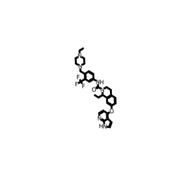 CCC1c2cc(Oc3ccnc4[nH]ccc34)ccc2CCN1C(=O)Nc1ccc(CN2CCN(CC)CC2)c(C(F)(F)F)c1